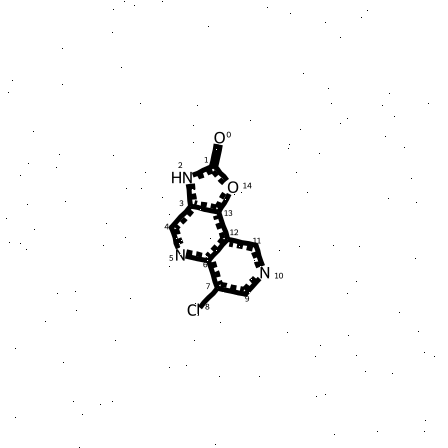 O=c1[nH]c2cnc3c(Cl)cncc3c2o1